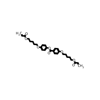 C=CC(=O)OCCCCCOc1ccc(OC(=O)c2ccc(OCCCCCOC(=O)C=C)cc2)cc1